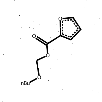 CCCCOCOC(=O)c1ccco1